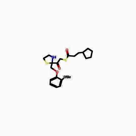 COc1ccccc1OCC1(C(=O)CSC(=O)CCC2CCCC2)NCCS1